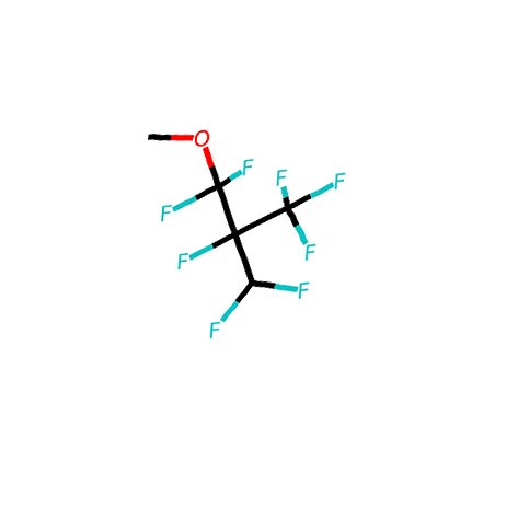 COC(F)(F)C(F)(C(F)F)C(F)(F)F